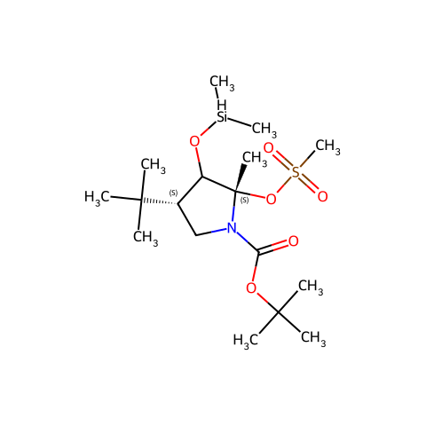 C[SiH](C)OC1[C@@H](C(C)(C)C)CN(C(=O)OC(C)(C)C)[C@@]1(C)OS(C)(=O)=O